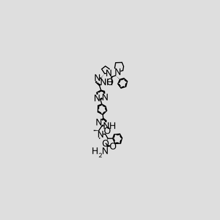 C[C@@H](c1nc(-c2ccc(-c3ncc(-c4cnc([C@@H]5CCCN5C(=O)[C@@H](c5ccccc5)N5CCCCC5)[nH]4)cn3)cc2)c[nH]1)N(C)C(=O)[C@H](OC(N)=O)c1ccccc1